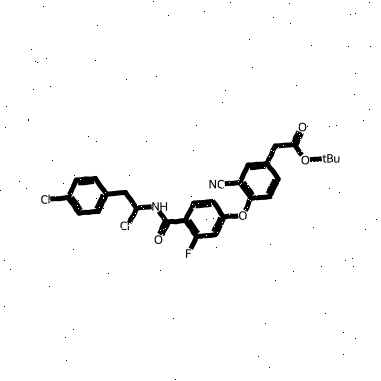 CC(C)(C)OC(=O)Cc1ccc(Oc2ccc(C(=O)NC(Cl)Cc3ccc(Cl)cc3)c(F)c2)c(C#N)c1